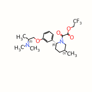 C[C@H]1CC[C@H](c2cccc(OC[C@H](C)N(C)C)c2)N(C(=O)C(=O)OCC(F)(F)F)C1